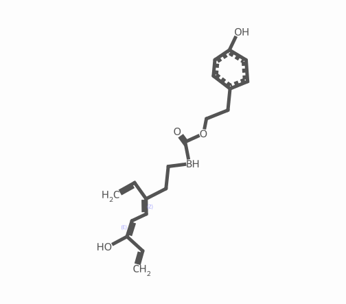 C=C/C(=C\C=C(\O)C=C)CCBC(=O)OCCc1ccc(O)cc1